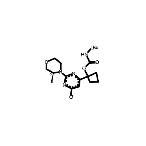 C[C@H]1COCCN1c1nc(Cl)cc(C2(OC(=O)NC(C)(C)C)CCC2)n1